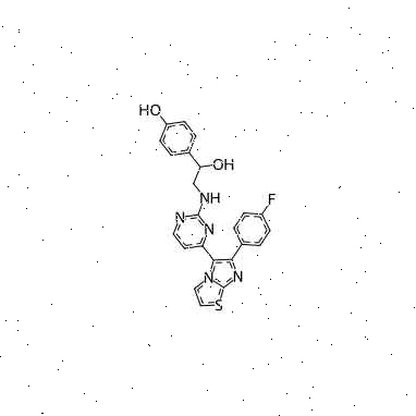 Oc1ccc(C(O)CNc2nccc(-c3c(-c4ccc(F)cc4)nc4sccn34)n2)cc1